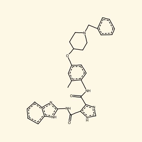 Cc1cc(OC2CCN(Cc3ccccc3)CC2)ccc1NC(=O)c1nc[nH]c1C(=O)Nc1nc2ccccc2[nH]1